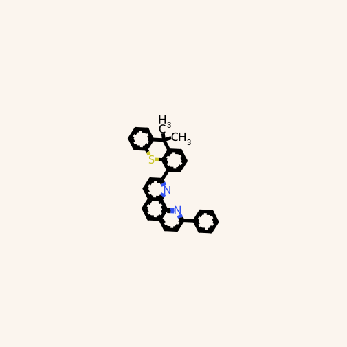 CC1(C)c2ccccc2Sc2c(-c3ccc4ccc5ccc(-c6ccccc6)nc5c4n3)cccc21